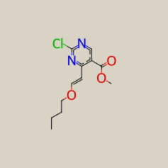 CCCCO/C=C/c1nc(Cl)ncc1C(=O)OC